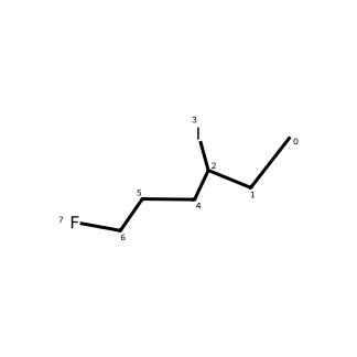 CCC(I)CCCF